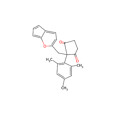 Cc1cc(C)c(C2(Cc3ccc4cccc-4o3)C(=O)CCC2=O)c(C)c1